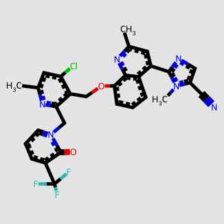 Cc1cc(Cl)c(COc2cccc3c(-c4ncc(C#N)n4C)cc(C)nc23)c(Cn2cccc(C(F)(F)F)c2=O)n1